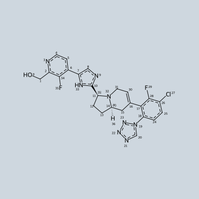 OCc1nccc(-c2cnc([C@@H]3CC[C@@H]4CC(c5c(-n6cnnn6)ccc(Cl)c5F)=CCN43)[nH]2)c1F